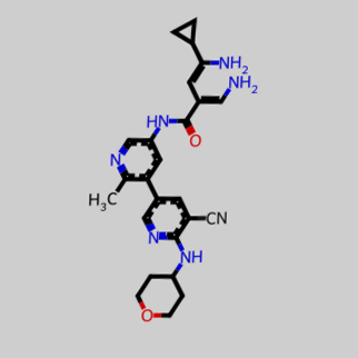 Cc1ncc(NC(=O)C(/C=C(\N)C2CC2)=C/N)cc1-c1cnc(NC2CCOCC2)c(C#N)c1